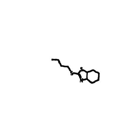 CCCCSC1=NC2CCCCC2S1